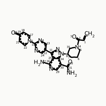 C=CC(=O)N1CCC[C@@H](n2nc(-c3cnc(-n4ccc(=O)cc4)nc3)c3c(N)ncc(C(N)=O)c32)C1